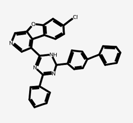 Clc1ccc2c(c1)oc1cncc(C3=NC(c4ccccc4)=NC(c4ccc(-c5ccccc5)cc4)N3)c12